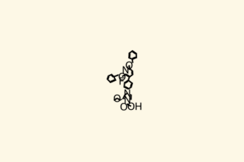 COC[C@H]1CN(c2ccc(-c3ccc(OCc4ccccc4)nc3OCc3ccccc3)c(F)c2)CCN1C(=O)O